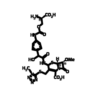 CO[C@@H]1C(=O)N2C(C(=O)O)=C(CSc3nnnn3C)C(NC(=O)C(O)c3ccc(NC(=O)OC[C@@H](N)C(=O)O)cc3)S[C@@H]12